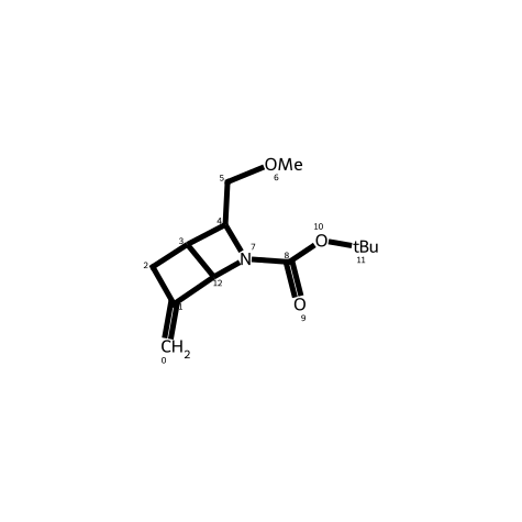 C=C1CC2C(COC)N(C(=O)OC(C)(C)C)C12